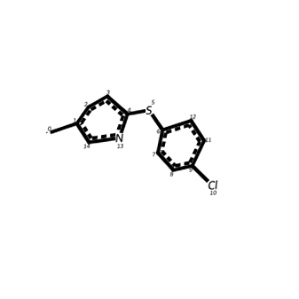 [CH2]c1ccc(Sc2ccc(Cl)cc2)nc1